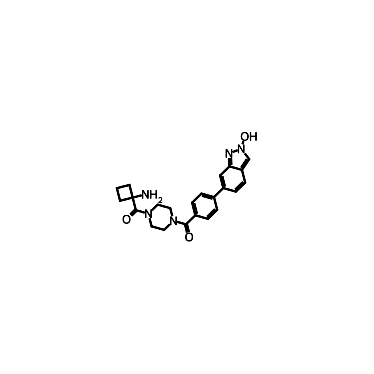 NC1(C(=O)N2CCN(C(=O)c3ccc(-c4ccc5cn(O)nc5c4)cc3)CC2)CCC1